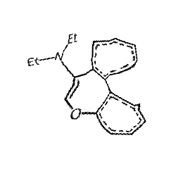 CCN(CC)C1=COc2ccccc2-c2ccccc21